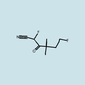 CC(C)(CCF)C(=O)C(F)C#N